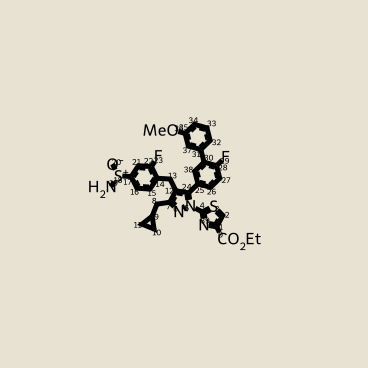 CCOC(=O)c1csc(-n2nc(CC3CC3)c(Cc3ccc([S+](N)[O-])cc3F)c2-c2ccc(F)c(-c3cccc(OC)c3)c2)n1